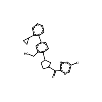 O=C(c1ncc(Cl)cn1)N1CCC(c2ccc(-c3ccccc3C3CC3)cc2CO)C1